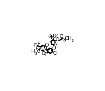 COC(=O)COc1nc(Oc2cc(-n3c(=O)cc(C(F)(F)F)n(C)c3=O)c(F)cc2Cl)ccc1[N+](=O)[O-]